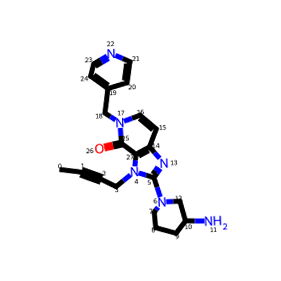 CC#CCn1c(N2CCCC(N)C2)nc2ccn(Cc3ccncc3)c(=O)c21